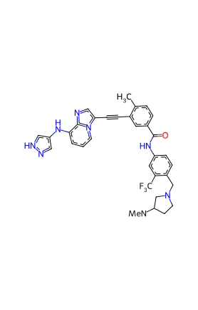 CNC1CCN(Cc2ccc(NC(=O)c3ccc(C)c(C#Cc4cnc5c(Nc6cn[nH]c6)cccn45)c3)cc2C(F)(F)F)C1